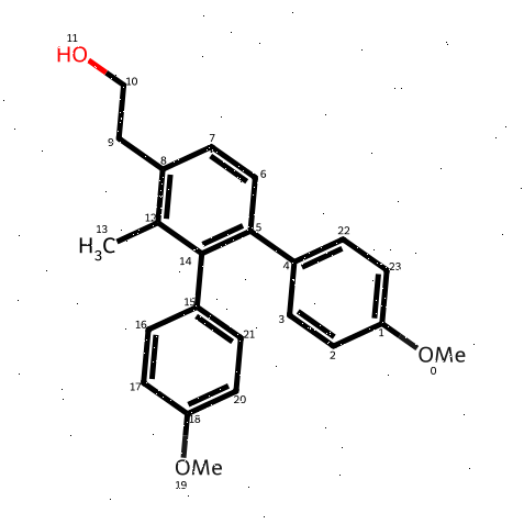 COc1ccc(-c2c[c]c(CCO)c(C)c2-c2ccc(OC)cc2)cc1